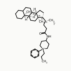 CCC[N+]1(c2ccccc2)CCC(NC(=O)CC[C@@H](C)[C@H]2CC[C@H]3[C@@H]4CCC5CCCC[C@]5(C)[C@H]4CC[C@]23C)CC1.[I-]